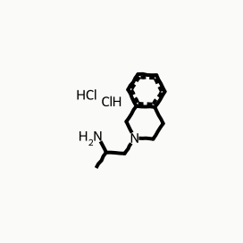 CC(N)CN1CCc2ccccc2C1.Cl.Cl